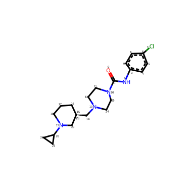 O=C(Nc1ccc(Cl)cc1)N1CCN(C[C@@H]2CCCN(C3CC3)C2)CC1